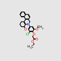 CCOC(=O)COc1c(Cl)cc(N2Cc3ccc4ccccc4c3C3=C2C(=O)CCC3)cc1OC